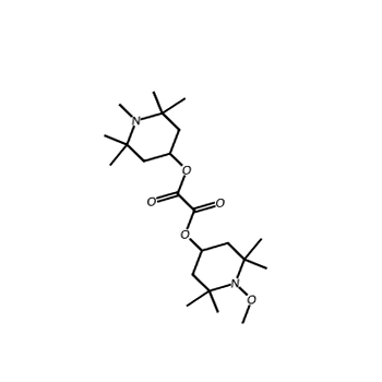 CON1C(C)(C)CC(OC(=O)C(=O)OC2CC(C)(C)N(C)C(C)(C)C2)CC1(C)C